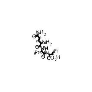 CC(C)C[C@H](NC(=O)[C@@H](NC(=O)[C@@H](N)CCC(N)=O)C(C)C)C(=O)O